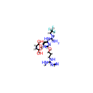 CN/C(=N/C#N)NCCCOc1nccc(N/C(N)=N\CC(F)(F)F)n1.O=C(O)/C=C\C(=O)O